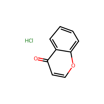 Cl.O=c1ccoc2ccccc12